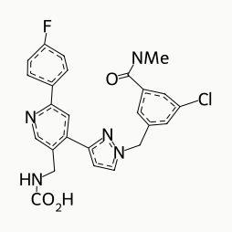 CNC(=O)c1cc(Cl)cc(Cn2ccc(-c3cc(-c4ccc(F)cc4)ncc3CNC(=O)O)n2)c1